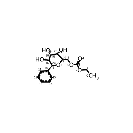 CCOC(=O)OC[C@H]1O[C@@H](c2ccccc2)C(O)[C@@H](O)C1O